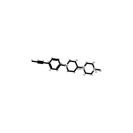 CC#Cc1ccc(N2CCC(N3CCN(C)CC3)CC2)cc1